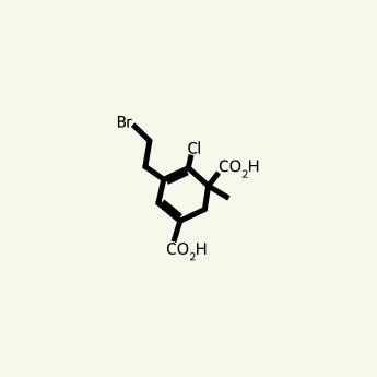 CC1(C(=O)O)CC(C(=O)O)=CC(CCBr)=C1Cl